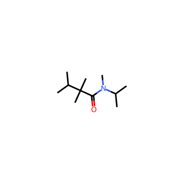 CC(C)N(C)C(=O)C(C)(C)C(C)C